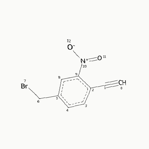 C#Cc1ccc(CBr)cc1[N+](=O)[O-]